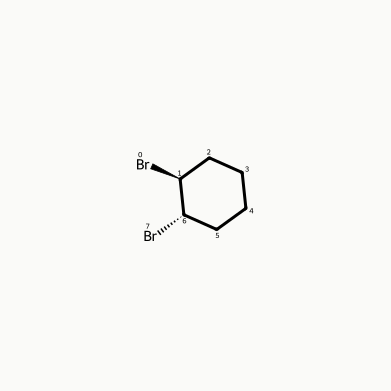 Br[C@H]1CCCC[C@@H]1Br